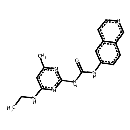 CCNc1cc(C)nc(NC(=O)Nc2ccc3cnccc3c2)n1